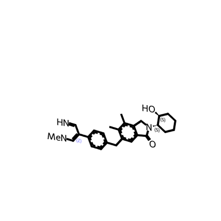 CN/C=C(\C=N)c1ccc(Cc2cc3c(c(C)c2C)CN([C@H]2CCCC[C@@H]2O)C3=O)cc1